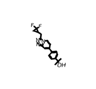 CC(C)(O)c1ccc(-c2ccn3c(CC4CC4(F)F)nnc3c2)cc1